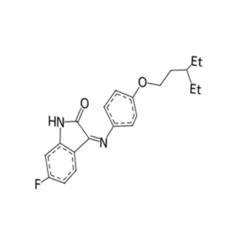 CCC(CC)CCOc1ccc(/N=C2\C(=O)Nc3cc(F)ccc32)cc1